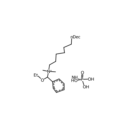 CCCCCCCCCCCCCCCC[N+](C)(C)C(OCC)c1ccccc1.N.O=P(O)(O)O